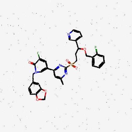 Cc1cc(-c2cc(F)c(=O)n(Cc3ccc4c(c3)OCO4)c2)nc(S(=O)(=O)CCC(OCc2ccccc2F)c2cccnc2)n1